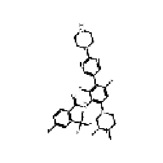 C[C@H]1CN(c2cc(F)c(-c3cnc(N4CCNCC4)nc3)c(F)c2NC(=O)c2ccc(F)cc2C(F)(F)F)CCN1C